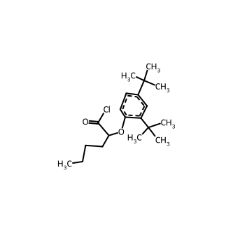 CCCCC(Oc1ccc(C(C)(C)C)cc1C(C)(C)C)C(=O)Cl